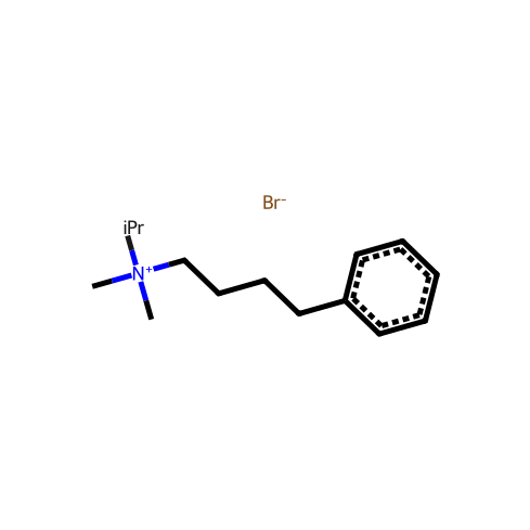 CC(C)[N+](C)(C)CCCCc1ccccc1.[Br-]